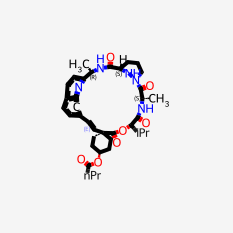 CCCC(=O)O[C@H]1CC[C@@]2(/C=C/c3ccc4ccc(nc4c3)[C@@H](C)NC(=O)[C@@H]3CCCN(N3)C(=O)[C@H](C)NC(=O)C(C(C)C)OC2=O)CC1